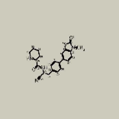 Cn1c(=O)sc2cc(-c3ccc(C[C@@H](C#N)NC(=O)[C@@H]4CCCCN4)cc3)ccc21